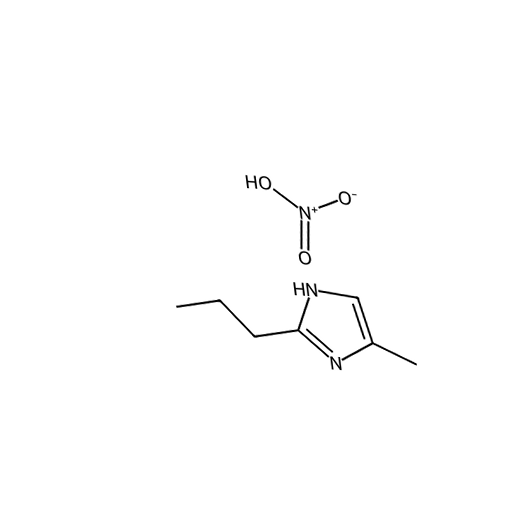 CCCc1nc(C)c[nH]1.O=[N+]([O-])O